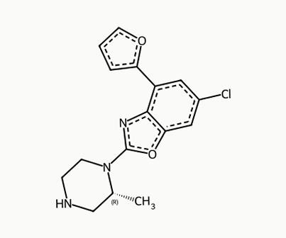 C[C@@H]1CNCCN1c1nc2c(-c3ccco3)cc(Cl)cc2o1